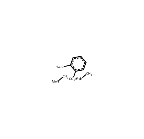 CNC.CNC.O=C(O)c1ccccc1C(=O)O